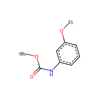 CCOc1cccc(NC(=O)OC(C)(C)C)c1